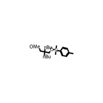 CCCCC(CCCC)(COC)CO[Si](C)(C)c1ccc(C)cc1